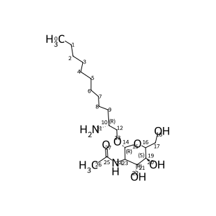 CCCCCCCCCC[C@@H](N)CO[C@@H]1OC(CO)[C@@H](O)[C@H](O)C1NC(C)=O